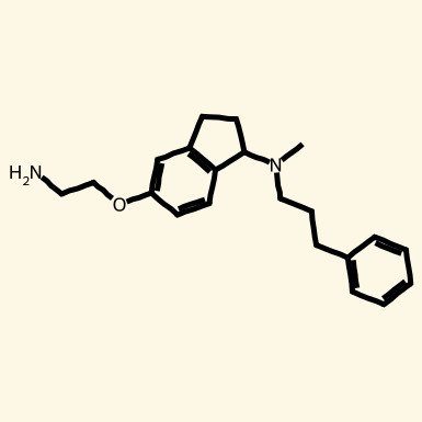 CN(CCCc1ccccc1)C1CCc2cc(OCCN)ccc21